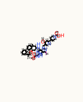 CCCC(CCO[Si](c1ccccc1)(c1ccccc1)C(C)(C)C)Nc1nc(NC(=O)OC)nc2c(I)nn(Cc3cnc(C4=CCN(C(=O)O)CC4)cc3OC)c12